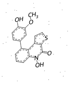 COc1cc(-c2cccc3c2c2ccsc2c(=O)n3O)ccc1O